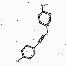 CCCCCc1ccc(OC#Cc2ccc(O)cc2)cc1